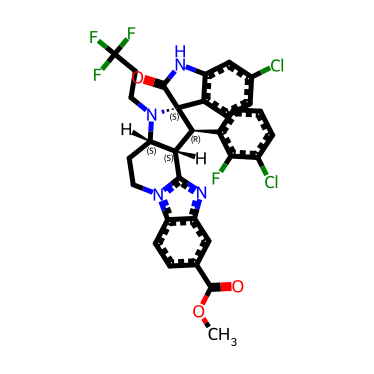 COC(=O)c1ccc2c(c1)nc1n2CC[C@H]2[C@@H]1[C@H](c1cccc(Cl)c1F)[C@]1(C(=O)Nc3cc(Cl)ccc31)N2CCC(F)(F)F